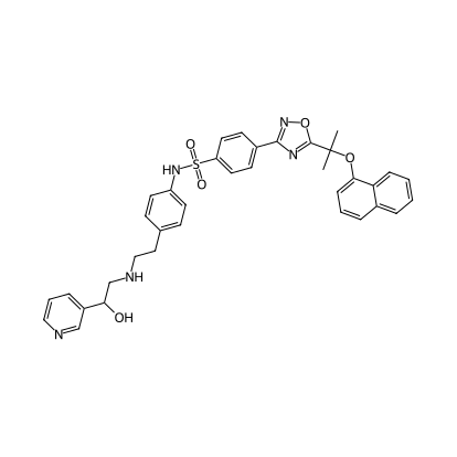 CC(C)(Oc1cccc2ccccc12)c1nc(-c2ccc(S(=O)(=O)Nc3ccc(CCNCC(O)c4cccnc4)cc3)cc2)no1